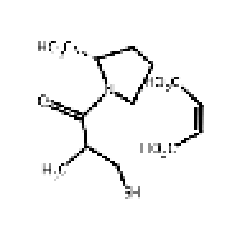 CC(CS)C(=O)N1CCC[C@H]1C(=O)O.O=C(O)/C=C\C(=O)O